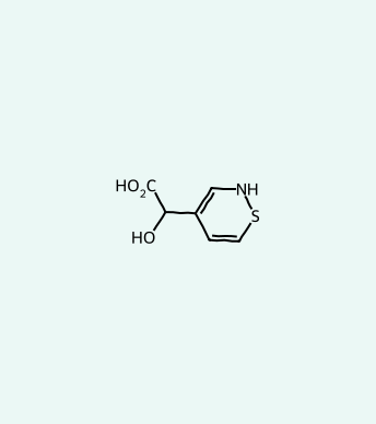 O=C(O)C(O)C1=CNSC=C1